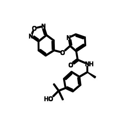 C[C@H](NC(=O)c1cccnc1Oc1ccc2nonc2c1)c1ccc(C(C)(C)O)cc1